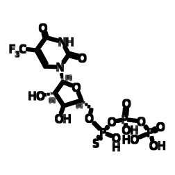 O=c1[nH]c(=O)n([C@@H]2O[C@H](COP(O)(=S)OP(=O)(O)OP(=O)(O)O)C(O)[C@@H]2O)cc1C(F)(F)F